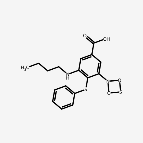 CCCCNc1cc(C(=O)O)cc(N2OSO2)c1Sc1ccccc1